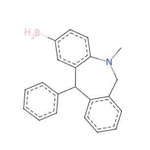 Bc1ccc2c(c1)C(c1ccccc1)c1ccccc1CN2C